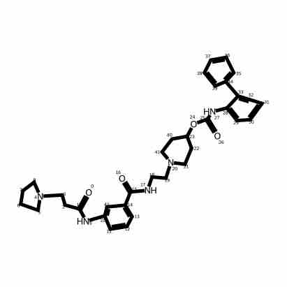 O=C(CCN1CCCC1)Nc1cccc(C(=O)NCCN2CCC(OC(=O)Nc3ccccc3-c3ccccc3)CC2)c1